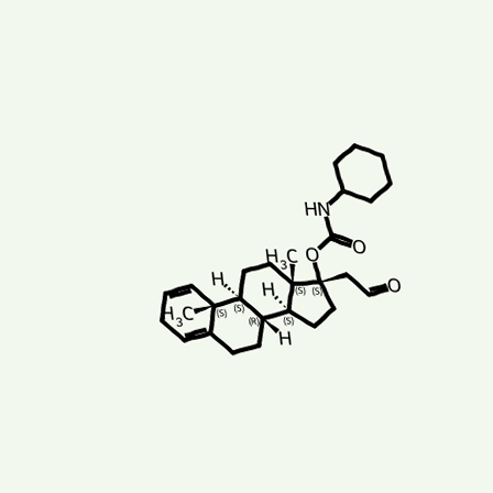 C[C@]12C=CCC=C1CC[C@@H]1[C@@H]2CC[C@@]2(C)[C@H]1CC[C@@]2(CC=O)OC(=O)NC1CCCCC1